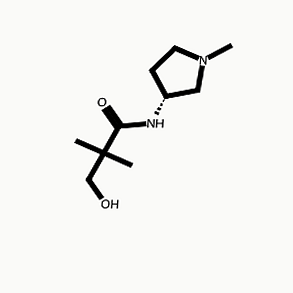 CN1CC[C@@H](NC(=O)C(C)(C)CO)C1